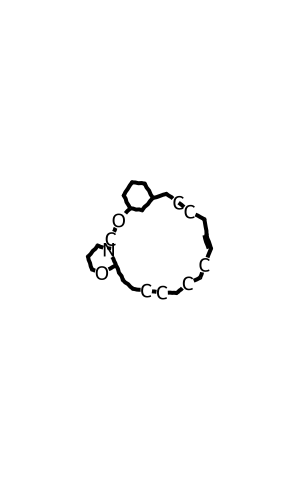 C1=C\CCCCC2CCCC(C2)OCN2CCCOC2CCCCCCCC/1